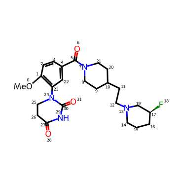 COc1ccc(C(=O)N2CCC(CCN3CCC[C@H](F)C3)CC2)cc1N1CCC(=O)NC1=O